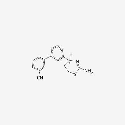 C[C@@]1(c2cccc(-c3cccc(C#N)c3)c2)CCSC(N)=N1